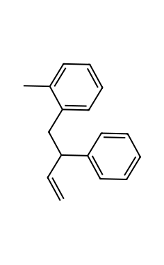 C=CC(Cc1ccccc1C)c1ccccc1